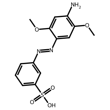 COc1cc(/N=N/c2cccc(S(=O)(=O)O)c2)c(OC)cc1N